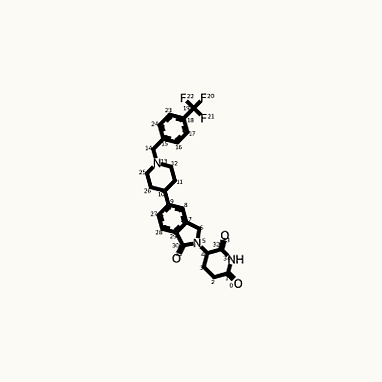 O=C1CCC(N2Cc3cc(C4CCN(Cc5ccc(C(F)(F)F)cc5)CC4)ccc3C2=O)C(=O)N1